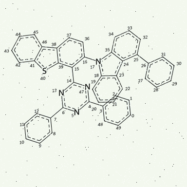 c1ccc(-c2nc(-c3ccccc3)nc(-c3c(-n4c5ccccc5c5c(-c6ccccc6)cccc54)ccc4c3sc3ccccc34)n2)cc1